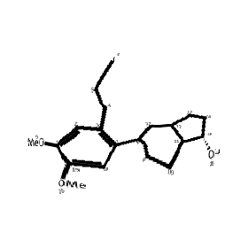 COc1cc(CCI)c(C2CCC3C(CC[C@@H]3O)C2)cc1OC